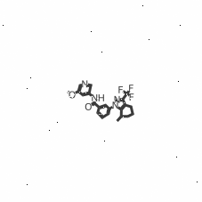 COc1cncc(NC(=O)c2cccc(-n3nc(C(F)(F)F)c4c3C(C)CCC4)c2)c1